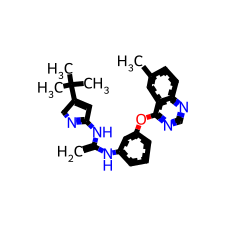 C=C(NC1=NCC(C(C)(C)C)=C1)Nc1cccc(Oc2ncnc3ccc(C)cc23)c1